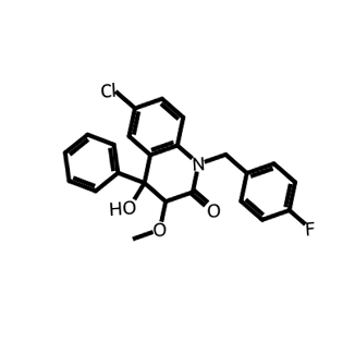 COC1C(=O)N(Cc2ccc(F)cc2)c2ccc(Cl)cc2C1(O)c1ccccc1